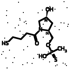 CP(O)(=S)OC[C@@H]1C[C@@H](O)CN1C(=O)CCCS